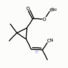 C/C(C#N)=C/C1C(C(=O)OC(C)(C)C)C1(C)C